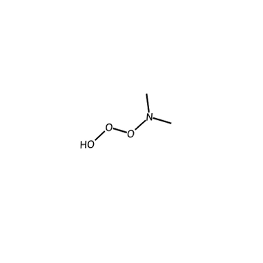 CN(C)OOO